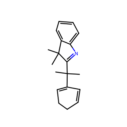 CC(C)(C1=CCCC=C1)C1=Nc2ccccc2C1(C)C